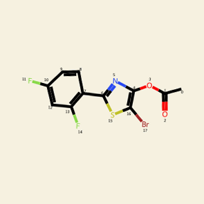 CC(=O)Oc1nc(-c2ccc(F)cc2F)sc1Br